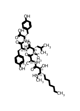 CCCCCCC[C@H](NC)[C@H](O)C(=O)N[C@@H](C)C(=O)N(C)[C@@H](CC(C)C)C(=O)N[C@@H](Cc1ccc(O)cc1)C(=O)N[C@@H](Cc1ccc(O)cc1)C(=O)O